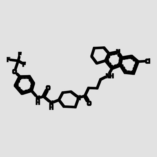 O=C(Nc1ccc(OC(F)(F)F)cc1)NC1CCN(C(=O)CCCNc2c3c(nc4cc(Cl)ccc24)CCCC3)CC1